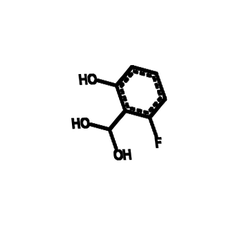 Oc1cccc(F)c1C(O)O